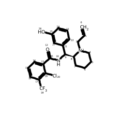 C=CCN1CCCC[C@H]1C(NC(=O)c1cccc(C(F)(F)F)c1Cl)c1cccc(O)c1